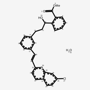 COC(=O)c1ccccc1C(O)CCc1cccc(C=Cc2ccc3ccc(Cl)cc3n2)c1.O